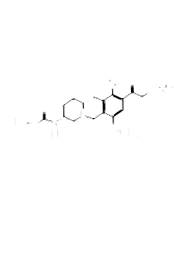 COCC(=O)c1cc(OC(F)(F)F)c(CN2CCC[C@H](NC(=O)OC(C)(C)C)C2)c(Cl)c1N